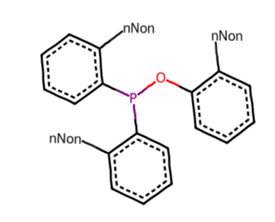 CCCCCCCCCc1ccccc1OP(c1ccccc1CCCCCCCCC)c1ccccc1CCCCCCCCC